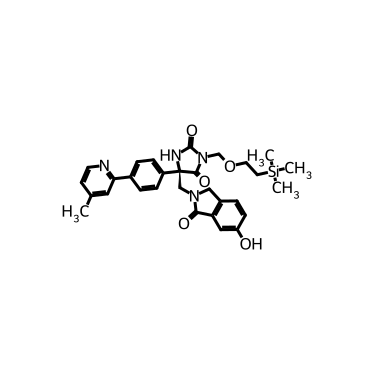 Cc1ccnc(-c2ccc([C@]3(CN4Cc5ccc(O)cc5C4=O)NC(=O)N(COCC[Si](C)(C)C)C3=O)cc2)c1